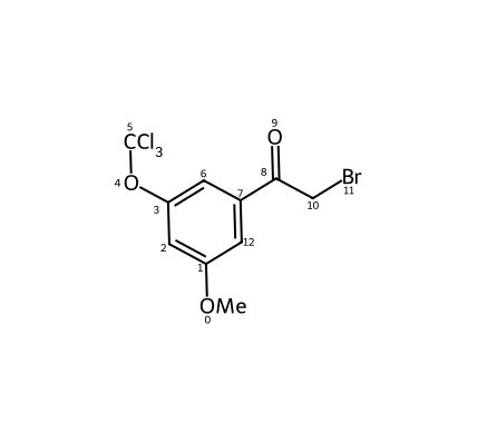 COc1cc(OC(Cl)(Cl)Cl)cc(C(=O)CBr)c1